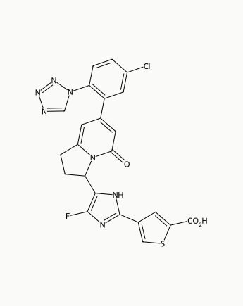 O=C(O)c1cc(-c2nc(F)c(C3CCc4cc(-c5cc(Cl)ccc5-n5cnnn5)cc(=O)n43)[nH]2)cs1